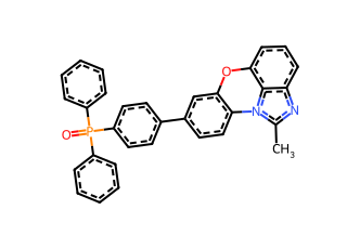 Cc1nc2cccc3c2n1-c1ccc(-c2ccc(P(=O)(c4ccccc4)c4ccccc4)cc2)cc1O3